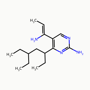 CC=C(N)c1cnc(N)nc1C(CC)CC(CC)CC